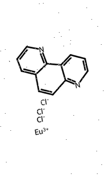 [Cl-].[Cl-].[Cl-].[Eu+3].c1cnc2c(c1)ccc1ncccc12